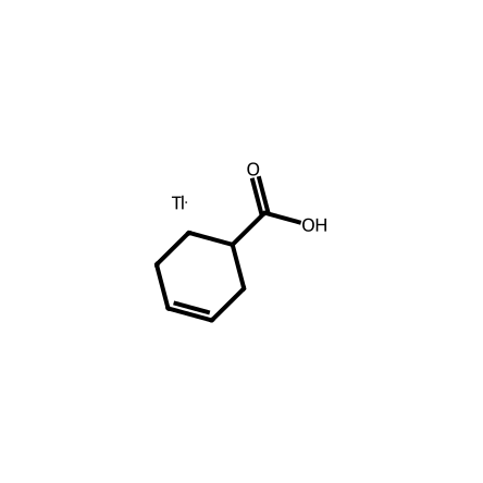 O=C(O)C1CC=CCC1.[Tl]